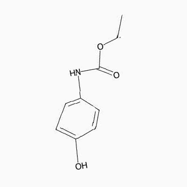 C[CH]OC(=O)Nc1ccc(O)cc1